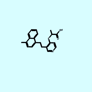 Cc1ccc(CCc2cnccc2SC(C)C(=O)O)c2ccccc12